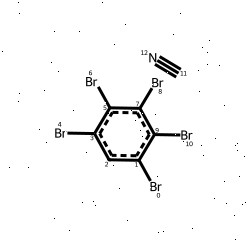 Brc1cc(Br)c(Br)c(Br)c1Br.C#N